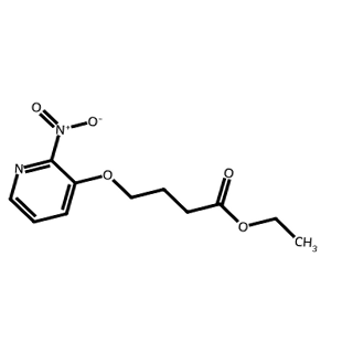 CCOC(=O)CCCOc1cccnc1[N+](=O)[O-]